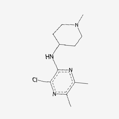 Cc1nc(Cl)c(NC2CCN(C)CC2)nc1C